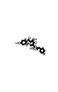 CN1C(=O)c2c(O)c(=O)c(C(=N)SC(=N)Cc3ccc(F)cc3)cn2N(C)C12CCC(O)CC2